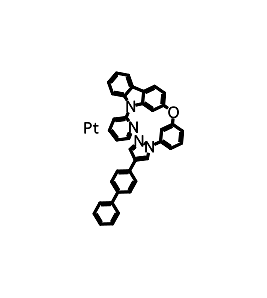 [Pt].c1ccc(-c2ccc(-c3cnn(-c4cccc(Oc5ccc6c7ccccc7n(-c7ccccn7)c6c5)c4)c3)cc2)cc1